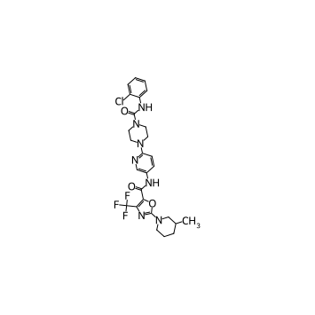 CC1CCCN(c2nc(C(F)(F)F)c(C(=O)Nc3ccc(N4CCN(C(=O)Nc5ccccc5Cl)CC4)nc3)o2)C1